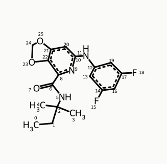 CCC(C)(C)NC(=O)c1nc(Nc2cc(F)cc(F)c2)cc2c1OCO2